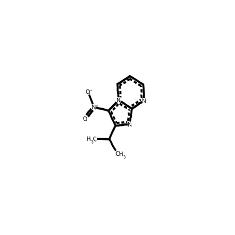 CC(C)c1nc2ncccn2c1[N+](=O)[O-]